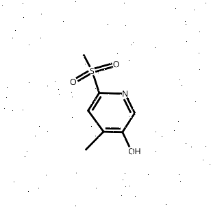 Cc1cc(S(C)(=O)=O)ncc1O